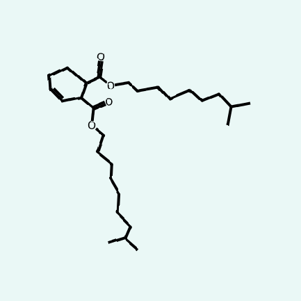 CC(C)CCCCCCCOC(=O)C1C=CCCC1C(=O)OCCCCCCCC(C)C